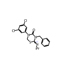 CC(C)/N=C1\SCN(c2cc(Cl)cc(Cl)c2)C(=O)N1Cc1ccccc1